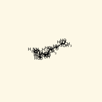 CC(C)(CO)[C@H](O)C(=O)SCCNC(=O)CCNC(=O)[C@H](O)C(C)(C)COP(=O)(O)OP(=O)(O)OC[C@H]1O[C@@H](n2cnc3c(N)ncnc32)[C@H](O)[C@@H]1OP(=O)(O)O